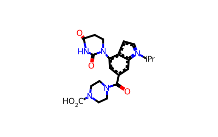 CC(C)n1ccc2c(N3CCC(=O)NC3=O)cc(C(=O)N3CCN(C(=O)O)CC3)cc21